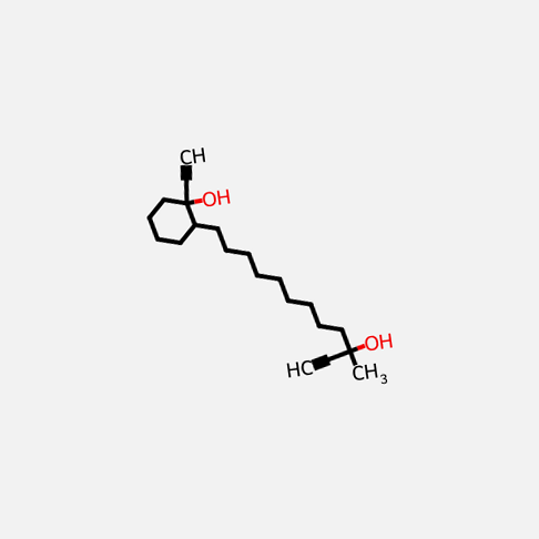 C#CC(C)(O)CCCCCCCCCC1CCCCC1(O)C#C